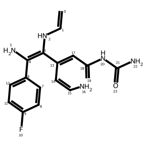 C=CNC(=C(\N)c1ccc(F)cc1)/C(/C=C\N)=C/C(=C)NC(N)=O